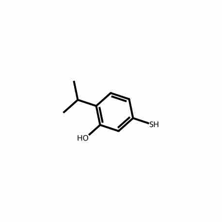 CC(C)c1ccc(S)cc1O